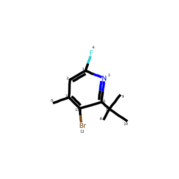 Cc1cc(F)nc(C(C)(C)C)c1Br